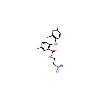 CCN(CC)CCNC(=O)c1cc(Cl)ccc1Nc1ccc(I)cc1C